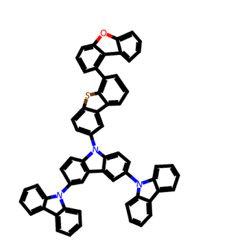 c1ccc2c(c1)oc1cccc(-c3cccc4c3sc3ccc(-n5c6ccc(-n7c8ccccc8c8ccccc87)cc6c6cc(-n7c8ccccc8c8ccccc87)ccc65)cc34)c12